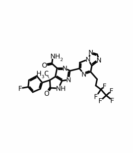 C[C@@]1(c2ccc(F)cc2)C(=O)Nc2nc(-c3cn4ncnc4c(CCC(F)(F)C(F)(F)F)n3)nc(C(N)=O)c21